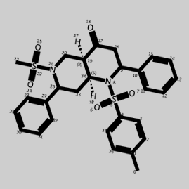 Cc1ccc(S(=O)(=O)N2C(c3ccccc3)CC(=O)[C@@H]3CN(S(C)(=O)=O)C(c4ccccc4)C[C@@H]32)cc1